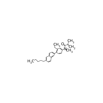 C=C(C)C(=O)N(C)c1ccc(-c2ccc3cc(CCCCC)ccc3c2)c(CC)c1